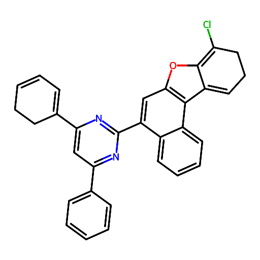 ClC1=c2oc3cc(-c4nc(C5=CC=CCC5)cc(-c5ccccc5)n4)c4ccccc4c3c2=CCC1